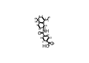 CCC1=CCC(C)(C)c2ccc(NC(=O)c3ccc(C(=O)O)cc3)cc21